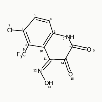 O=C1Nc2ccc(Cl)c(C(F)(F)F)c2/C(=N/O)C1=O